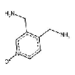 NCc1cc[n+]([O-])cc1CN